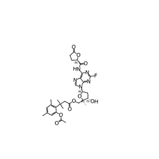 CC(=O)Oc1cc(C)cc(C)c1C(C)(C)CC(=O)OC[C@@]1(C)O[C@@H](n2cnc3c(NC(=O)[C@H]4CCC(=O)O4)nc(F)nc32)C[C@@H]1O